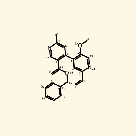 C=Cc1cc(-c2cc(C)ncc2C(=C)OCc2ccccc2)c(OC)cn1